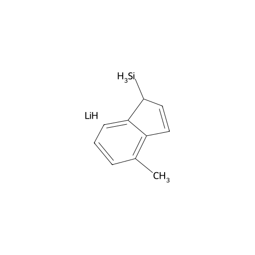 Cc1cccc2c1C=CC2[SiH3].[LiH]